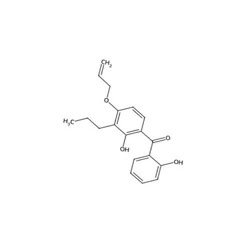 C=CCOc1ccc(C(=O)c2ccccc2O)c(O)c1CCC